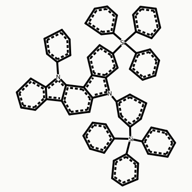 c1ccc(-n2c3ccccc3c3ccc4c(c5ccc([Si](c6ccccc6)(c6ccccc6)c6ccccc6)cc5n4-c4cccc([Si](c5ccccc5)(c5ccccc5)c5ccccc5)c4)c32)cc1